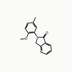 COc1ccc(C)cc1N1Cc2ncccc2C1=O